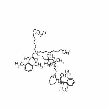 Cc1cccc(C)c1NC(=O)C[N+](CCCCCCCO)(CCCCCC(=O)O)CCCC(C)(C)CC(C)(C)CCCN1CCCCC1C(=O)Nc1c(C)cccc1C